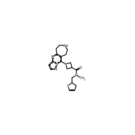 CN(CC1CC=CS1)C(=O)C1CN(c2c3c(nc4ccnn24)CCNCC3)C1